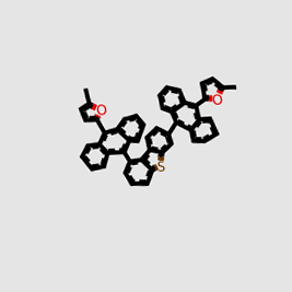 Cc1ccc(-c2c3ccccc3c(-c3ccc4c(c3)sc3cccc(-c5c6ccccc6c(-c6ccc(C)o6)c6ccccc56)c34)c3ccccc23)o1